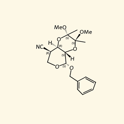 CO[C@@]1(C)O[C@@H]2[C@H](OCc3ccccc3)OC[C@@H](C#N)[C@H]2O[C@]1(C)OC